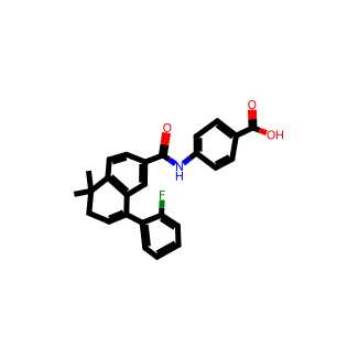 CC1(C)CC=C(c2ccccc2F)c2cc(C(=O)Nc3ccc(C(=O)O)cc3)ccc21